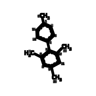 Cc1ccc(-c2c(C)cc(C)cc2C)cc1